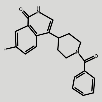 O=C(c1ccccc1)N1CCC(c2c[nH]c(=O)c3cc(F)ccc23)CC1